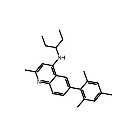 CCC(CC)Nc1cc(C)nc2ccc(-c3c(C)cc(C)cc3C)cc12